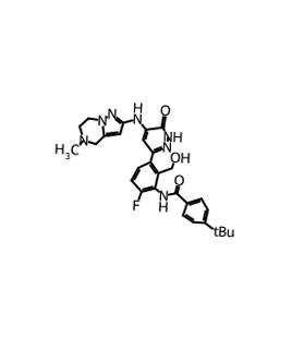 CN1CCn2nc(Nc3cc(-c4ccc(F)c(NC(=O)c5ccc(C(C)(C)C)cc5)c4CO)n[nH]c3=O)cc2C1